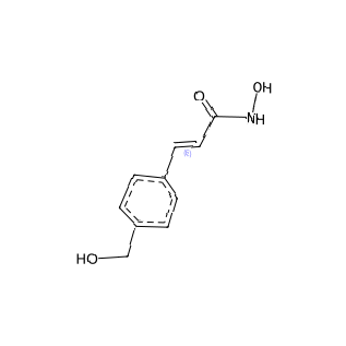 O=C(/C=C/c1ccc(CO)cc1)NO